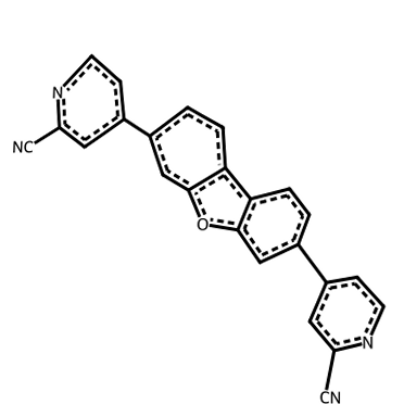 N#Cc1cc(-c2ccc3c(c2)oc2cc(-c4ccnc(C#N)c4)ccc23)ccn1